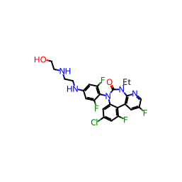 CCN1C(=O)N(c2c(F)cc(NCCNCCO)cc2F)c2cc(Cl)cc(F)c2-c2cc(F)cnc21